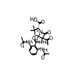 CC(=O)Nc1cccc(NC(C)=O)c1C(=O)NC1(C(C)=O)C(=O)N2[C@@H](C(=O)O)C(C)(C)S[C@@H]21